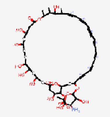 CC1/C=C/C=C/C=C/C=C/C=C\C=C/C=C\C(OC2OC(C)C(O)C(N)C2O)CC2OC(O)(CC(O)CC(O)C(O)CCC(O)CC(O)CC(=O)OC(C)C(C)C1O)CC(O)C2OC(=O)O